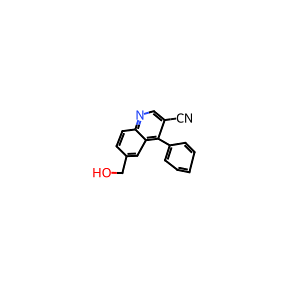 N#Cc1cnc2ccc(CO)cc2c1-c1ccccc1